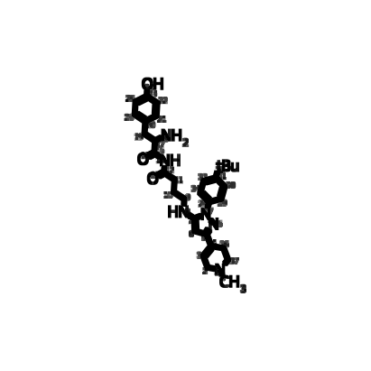 CN1CC=C(c2cc(NCCCC(=O)NC(=O)C(N)Cc3ccc(O)cc3)n(-c3ccc(C(C)(C)C)cc3)n2)CC1